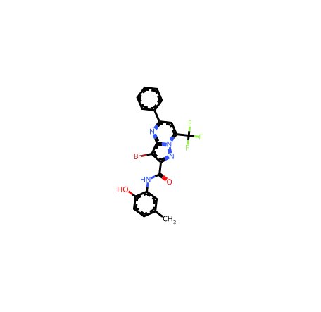 Cc1ccc(O)c(NC(=O)c2nn3c(C(F)(F)F)cc(-c4ccccc4)nc3c2Br)c1